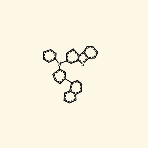 c1ccc(N(c2cccc(-c3cccc4ccccc34)c2)c2ccc3c(c2)sc2ccccc23)cc1